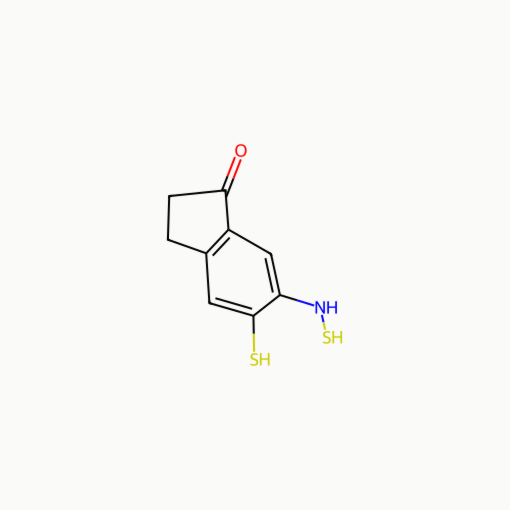 O=C1CCc2cc(S)c(NS)cc21